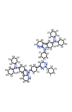 c1ccc(-c2nc(-c3ccc(-n4c5ccc(N(c6ccccc6)c6ccccc6)cc5c5cccnc54)cc3)cc(-c3ccc(-n4c5ccc(N(c6ccccc6)c6ccccc6)cc5c5cccnc54)cc3)n2)cc1